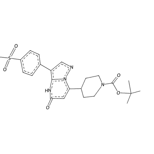 CC(C)(C)OC(=O)N1CCC(c2cc(=O)[nH]c3c(-c4ccc(S(C)(=O)=O)cc4)cnn23)CC1